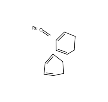 C1=CCCC=C1.C1=CCCC=C1.[C]=O.[Ru]